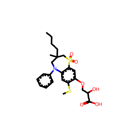 CCCCC1(C)CN(c2ccccc2)c2cc(SC)c(OCC(O)C(=O)O)cc2S(=O)(=O)C1